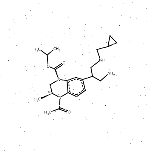 CC(=O)N1c2ccc(C(CN)CNCC3CC3)cc2N(C(=O)OC(C)C)C[C@@H]1C